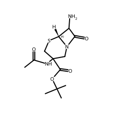 CC(=O)NC1(C(=O)OC(C)(C)C)CS[C@@H]2C(N)C(=O)N2C1